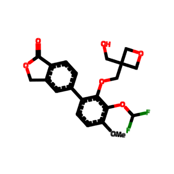 COc1ccc(-c2ccc3c(c2)COC3=O)c(OCC2(CO)COC2)c1OC(F)F